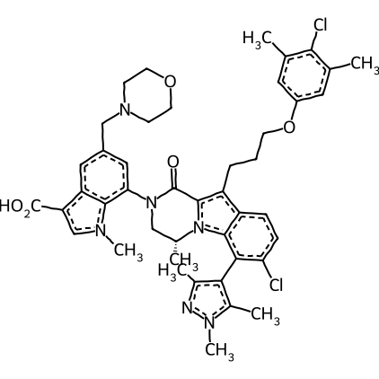 Cc1cc(OCCCc2c3n(c4c(-c5c(C)nn(C)c5C)c(Cl)ccc24)[C@H](C)CN(c2cc(CN4CCOCC4)cc4c(C(=O)O)cn(C)c24)C3=O)cc(C)c1Cl